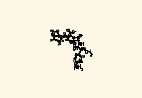 CCON=C(C(=O)NC1C(=O)N2C(C(=O)[O-])=C(C[n+]3cccc4sccc43)CS[C@@H]12)c1cnc(N)nc1